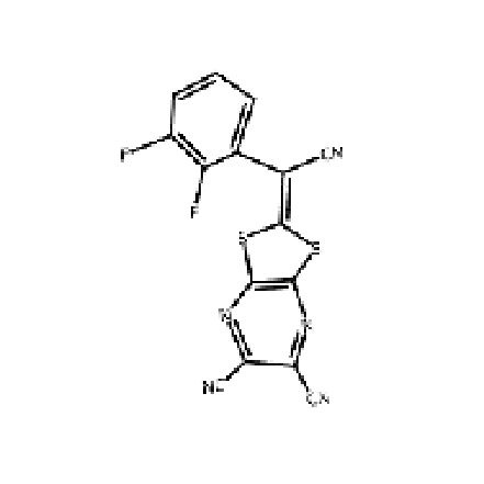 N#CC(=C1Sc2nc(C#N)c(C#N)nc2S1)c1cccc(F)c1F